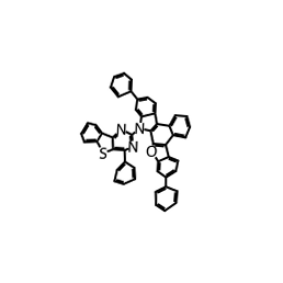 c1ccc(-c2ccc3c(c2)oc2c3c3ccccc3c3c4ccc(-c5ccccc5)cc4n(-c4nc(-c5ccccc5)c5sc6ccccc6c5n4)c23)cc1